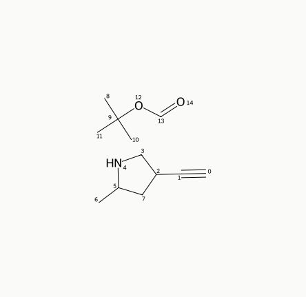 C#CC1CNC(C)C1.CC(C)(C)OC=O